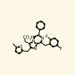 Cc1ccc(Cc2nc3c(Cc4cc(F)ccc4F)nc(-c4ccccc4)cn3c2CC(=O)O)o1